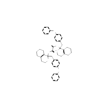 CN1CCC2=C(CCCC2)C1(Cc1ccc(Oc2ccccc2)cc1)OC(=O)C(=O)OC1(Cc2ccc(Oc3ccccc3)cc2)C2=C(CCCC2)CCN1C